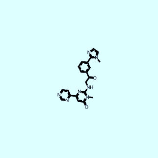 Cn1ccnc1-c1cccc(C(=O)CNc2nc(-c3ccncn3)cc(=O)n2C)c1